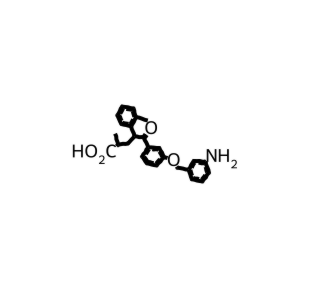 Cc1ccccc1C(CC(C)C(=O)O)C(=O)c1cccc(OCc2cccc(N)c2)c1